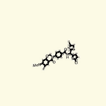 CNc1cc2c(cc1F)C(=O)N(c1ccc(C(=O)NC(c3ccc(Cl)s3)c3nc(C)cs3)cc1)CO2